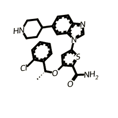 C[C@@H](Oc1cc(-n2cnc3ccc(C4CCNCC4)cc32)sc1C(N)=O)c1ccccc1Cl